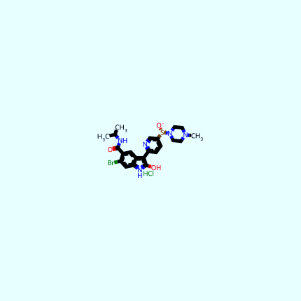 CC(C)NC(=O)c1cc2c(-c3ccc([S+]([O-])N4CCN(C)CC4)cn3)c(O)[nH]c2cc1Br.Cl